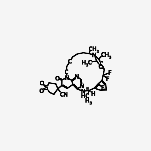 CC1CCCCCCn2c(=O)c(C3(C#N)CCS(=O)(=O)CC3)cc3c(ncnc32)N[C@H](C)c2cccc(c2F)C(F)(F)C2CC(C)N1C(C)C2